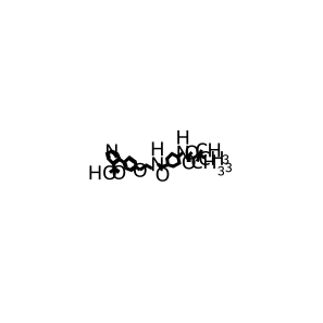 CC(C)(C)OC(=O)NC1CCC(C(=O)NCCOc2ccc(-c3cnccc3C(=O)O)cc2)CC1